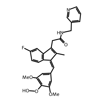 COc1cc(/C=C2/C(C)=C(CC(=O)NCc3cccnc3)c3cc(F)ccc32)cc(OC)c1OO